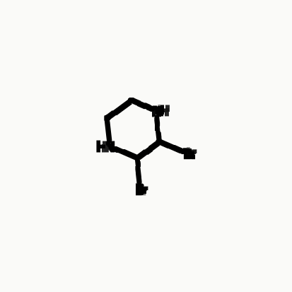 BrC1NCCNC1Br